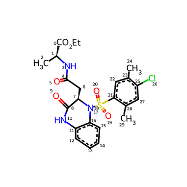 CCOC(=O)[C@H](C)NC(=O)C[C@@H]1C(=O)Nc2ccccc2N1S(=O)(=O)c1cc(C)c(Cl)cc1C